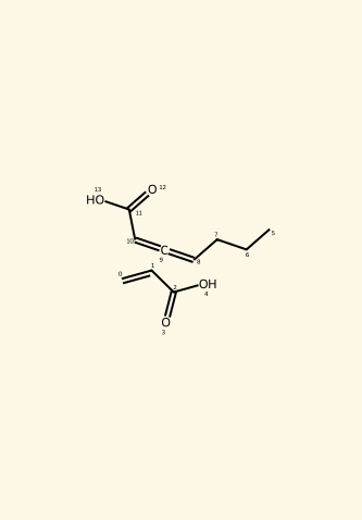 C=CC(=O)O.CCCC=C=CC(=O)O